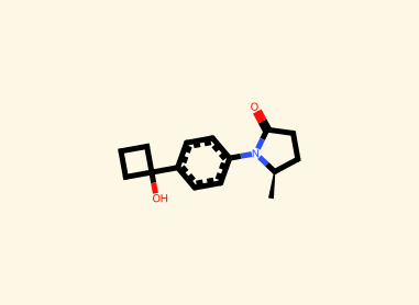 C[C@@H]1CCC(=O)N1c1ccc(C2(O)CCC2)cc1